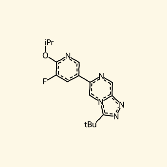 CC(C)Oc1ncc(-c2cn3c(C(C)(C)C)nnc3cn2)cc1F